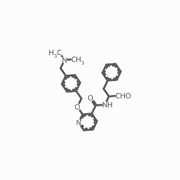 CN(C)Cc1ccc(COc2ncccc2C(=O)NC(C=O)Cc2ccccc2)cc1